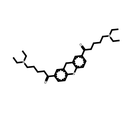 CCN(CC)CCCCC(=O)c1ccc2c(c1)Cc1cc(C(=O)CCCCN(CC)CC)ccc1S2